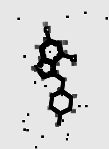 CC1CCC(Cn2cnc3cc(Cl)nc(Cl)c32)CC1